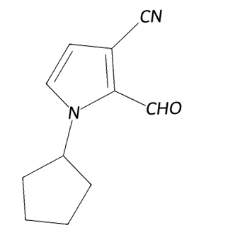 N#Cc1ccn(C2CCCC2)c1C=O